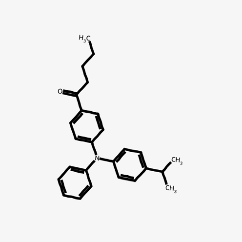 CCCCC(=O)c1ccc(N(c2ccccc2)c2ccc(C(C)C)cc2)cc1